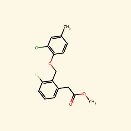 COC(=O)Cc1cccc(F)c1COc1ccc(C)cc1Cl